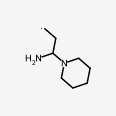 [CH2]CC(N)N1CCCCC1